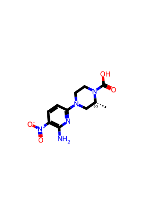 C[C@@H]1CN(c2ccc([N+](=O)[O-])c(N)n2)CCN1C(=O)O